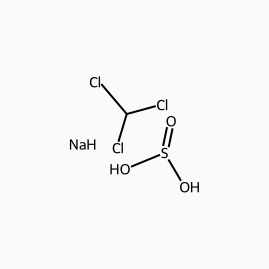 ClC(Cl)Cl.O=S(O)O.[NaH]